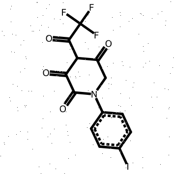 O=C1CN(c2ccc(I)cc2)C(=O)C(=O)C1C(=O)C(F)(F)F